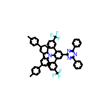 Cc1ccc(C2=Cc3c(n(-c4c(-c5c#ccc(C(F)(F)F)c5)cc(-c5nc(-c6ccccc6)nc(-c6ccccc6)n5)cc4-c4cccc(C(F)(F)F)c4)c4ccc(-c5ccc(C)cc5)cc34)CC2)cc1